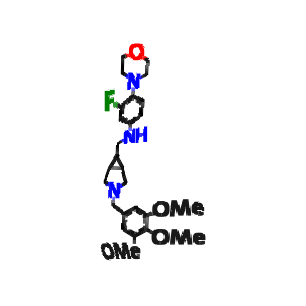 COc1cc(CN2CC3C(CNc4ccc(N5CCOCC5)c(F)c4)C3C2)cc(OC)c1OC